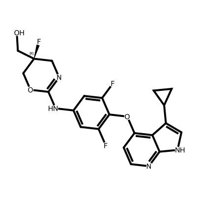 OC[C@]1(F)CN=C(Nc2cc(F)c(Oc3ccnc4[nH]cc(C5CC5)c34)c(F)c2)OC1